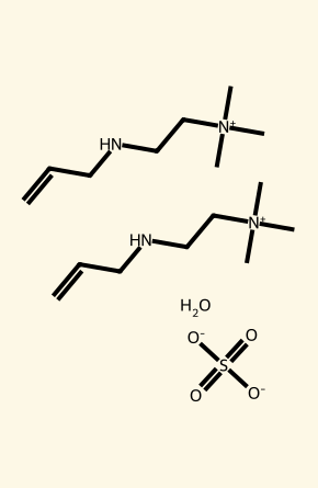 C=CCNCC[N+](C)(C)C.C=CCNCC[N+](C)(C)C.O.O=S(=O)([O-])[O-]